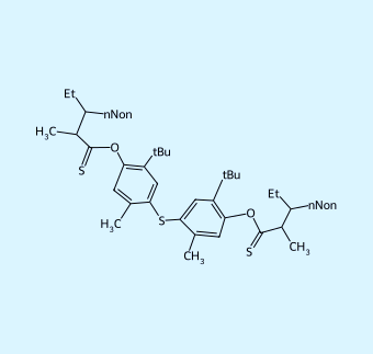 CCCCCCCCCC(CC)C(C)C(=S)Oc1cc(C)c(Sc2cc(C(C)(C)C)c(OC(=S)C(C)C(CC)CCCCCCCCC)cc2C)cc1C(C)(C)C